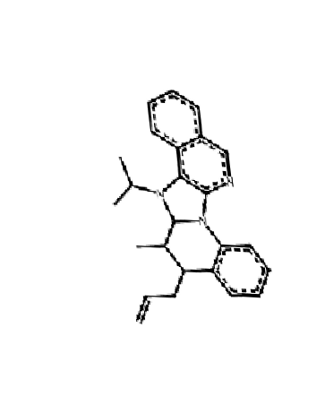 C=CCC1c2ccccc2N2c3ncc4ccccc4c3N(C(C)C)C2C1C